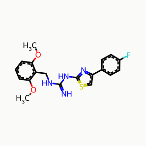 COc1cccc(OC)c1CNC(=N)Nc1nc(-c2ccc(F)cc2)cs1